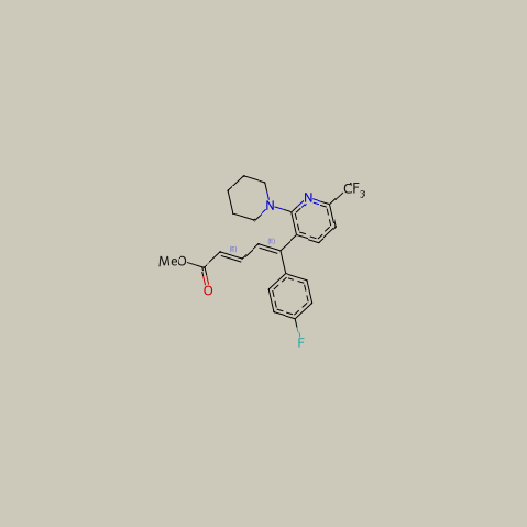 COC(=O)/C=C/C=C(\c1ccc(F)cc1)c1ccc(C(F)(F)F)nc1N1CCCCC1